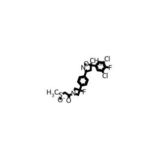 C[S+]([O-])CC(=O)N1CC(F)(c2ccc(C3=NOC(C)(c4cc(Cl)c(F)c(Cl)c4)C3)cc2)C1